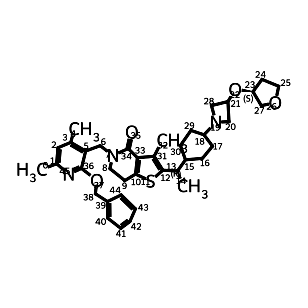 Cc1cc(C)c(CN2CCc3sc([C@H](C)C4CCC(N5CC(O[C@H]6CCOC6)C5)CC4)c(C)c3C2=O)c(OCc2ccccc2)n1